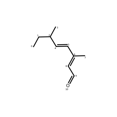 CCC(C)C=CC(C)=C[C]=O